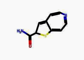 NC(=O)C1C=C2C=CN=CC=C2S1